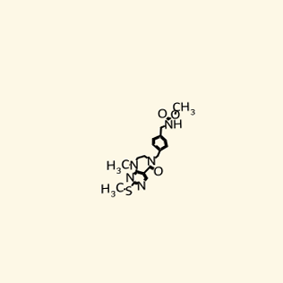 COC(=O)NCc1ccc(CN2CCN(C)c3nc(SC)ncc3C2=O)cc1